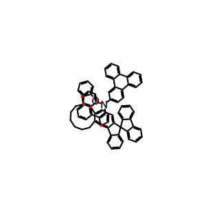 c1ccc2c(c1)CCCCCCc1cccc(N(c3ccc4c5ccccc5c5ccccc5c4c3)c3cc4c(cc3-c3cccc5c3oc3ccccc35)-c3ccccc3C43c4ccccc4-c4ccccc43)c1-2